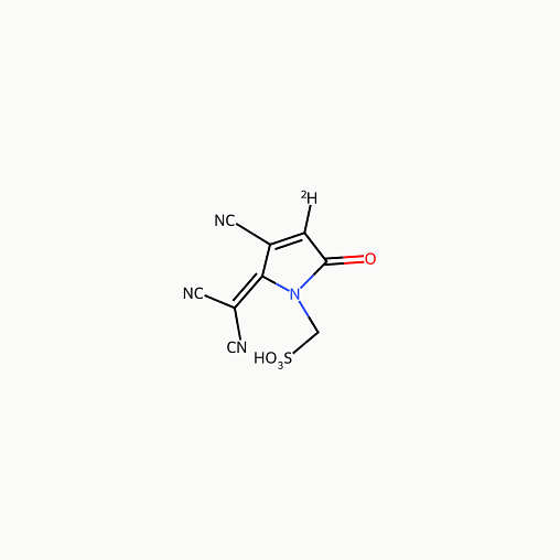 [2H]C1=C(C#N)C(=C(C#N)C#N)N(CS(=O)(=O)O)C1=O